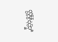 Cc1cc(NC(=O)NC(=O)c2c(F)cccc2Cl)c(C)c(Cl)c1Oc1ccc(Br)cc1Br